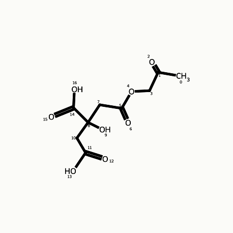 CC(=O)COC(=O)CC(O)(CC(=O)O)C(=O)O